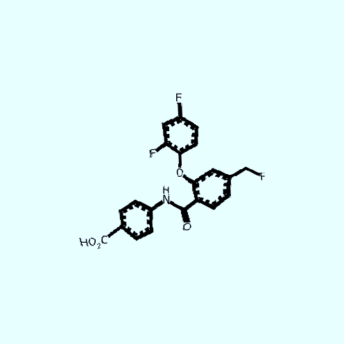 O=C(O)c1ccc(NC(=O)c2ccc(CF)cc2Oc2ccc(F)cc2F)cc1